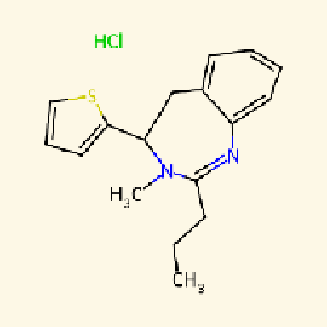 CCCC1=Nc2ccccc2CC(c2cccs2)N1C.Cl